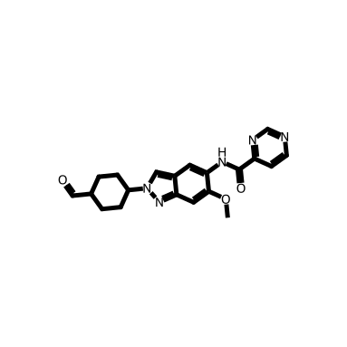 COc1cc2nn(C3CCC(C=O)CC3)cc2cc1NC(=O)c1ccncn1